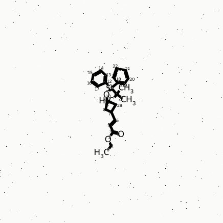 CCOC(=O)/C=C/C1CC(O[Si](c2ccccc2)(c2ccccc2)C(C)(C)C)C1